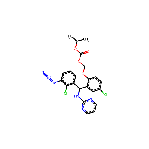 CC(C)OC(=O)OCOc1ccc(Cl)cc1C(Nc1ncccn1)c1cccc(N=[N+]=[N-])c1Cl